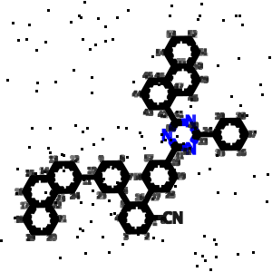 N#Cc1cccc(-c2cccc(-c3ccc4ccc5ccccc5c4c3)c2)c1-c1ccc(-c2nc(-c3ccccc3)nc(-c3cccc4c3ccc3ccccc34)n2)cc1